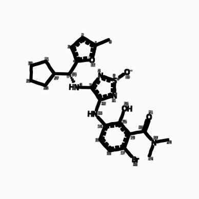 Cc1ccc([C@H](Nc2n[s+]([O-])nc2Nc2ccc(Br)c(C(=O)N(C)C)c2O)C2CCCC2)o1